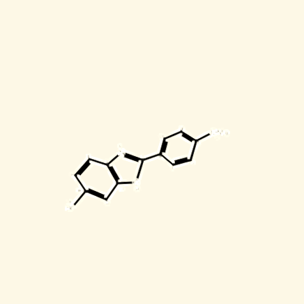 COc1ccc(-c2nc3ccc(Br)cc3o2)cc1